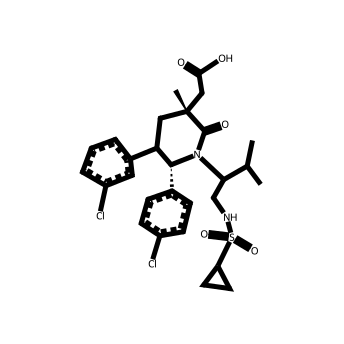 CC(C)C(CNS(=O)(=O)C1CC1)N1C(=O)[C@@](C)(CC(=O)O)CC(c2cccc(Cl)c2)[C@H]1c1ccc(Cl)cc1